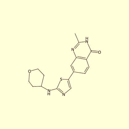 Cc1nc2cc(-c3cnc(NC4CCOCC4)s3)ccc2c(=O)[nH]1